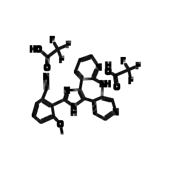 COc1cccc(C#N)c1-c1nc2c([nH]1)-c1ccncc1Nc1ncccc1-2.O=C(O)C(F)(F)F.O=C(O)C(F)(F)F